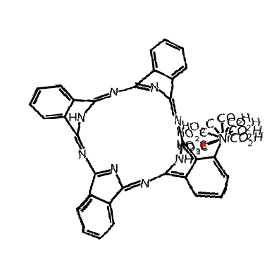 O=[C](O)[Ni]([C](=O)O)([C](=O)O)([C](=O)O)([C](=O)O)([C](=O)O)([C](=O)O)([C](=O)O)[c]1cccc2c3nc4nc(nc5[nH]c(nc6nc(nc([nH]3)c12)-c1ccccc1-6)c1ccccc51)-c1ccccc1-4